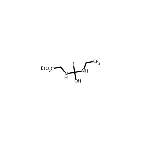 CCOC(=O)CNC(O)(I)NCC(F)(F)F